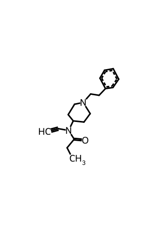 C#CN(C(=O)CC)C1CCN(CCc2ccccc2)CC1